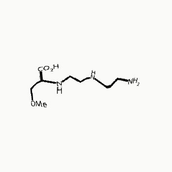 COCC(NCCNCCN)C(=O)O